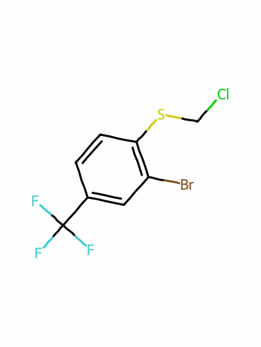 FC(F)(F)c1ccc(SCCl)c(Br)c1